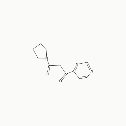 O=C(CC(=O)N1CCCC1)c1ccncn1